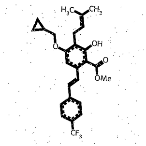 COC(=O)c1c(C=Cc2ccc(C(F)(F)F)cc2)cc(OCC2CC2)c(CC=C(C)C)c1O